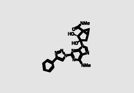 CNC(=O)C12CC1C[C@@](O)(n1cnc3c(NC)nc(-n4cc(-c5ccccc5)nn4)nc31)[C@@H]2O